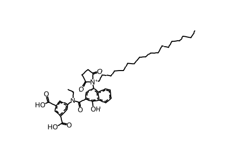 CCCCCCCCCCCCCCCCCC[N+]1(c2cc(C(=O)N(CC)c3cc(C(=O)O)cc(C(=O)O)c3)c(O)c3ccccc23)C(=O)CCC1=O